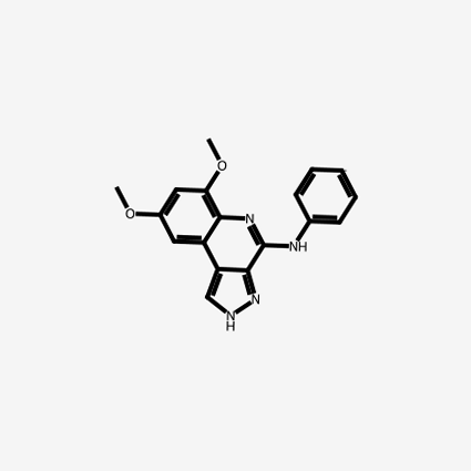 COc1cc(OC)c2nc(Nc3cc[c]cc3)c3n[nH]cc3c2c1